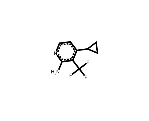 Nc1nccc(C2CC2)c1C(F)(F)F